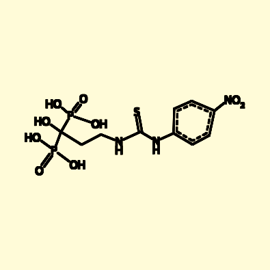 O=[N+]([O-])c1ccc(NC(=S)NCCC(O)(P(=O)(O)O)P(=O)(O)O)cc1